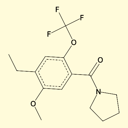 CCc1cc(OC(F)(F)F)c(C(=O)N2CCCC2)cc1OC